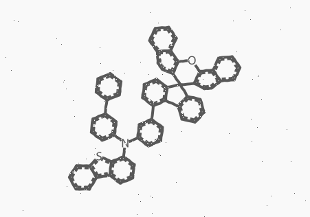 c1ccc(-c2cccc(N(c3cccc(-c4cccc5c4-c4ccccc4C54c5ccc6ccccc6c5Oc5c4ccc4ccccc54)c3)c3cccc4c3sc3ccccc34)c2)cc1